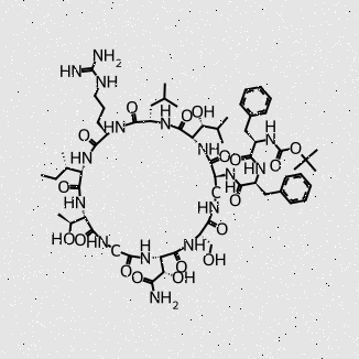 CC[C@H](C)[C@@H]1NC(=O)[C@@H](CCCNC(=N)N)NC(=O)[C@H](CC(C)C)NC(=O)[C@H]([C@H](O)C(C)C)NC(=O)[C@@H](NC(=O)[C@H](Cc2ccccc2)NC(=O)[C@@H](Cc2ccccc2)NC(=O)OC(C)(C)C)CNC(=O)[C@H](CO)NC(=O)[C@H]([C@H](O)C(N)=O)NC(=O)CNC(=O)[C@H]([C@H](C)O)NC1=O